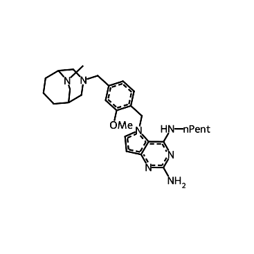 CCCCCNc1nc(N)nc2ccn(Cc3ccc(CN4CC5CCCC(C4)N(C)C5)cc3OC)c12